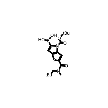 CN(CC(C)(C)C)C(=O)c1cc2c(cc(B(O)O)n2C(=O)OC(C)(C)C)s1